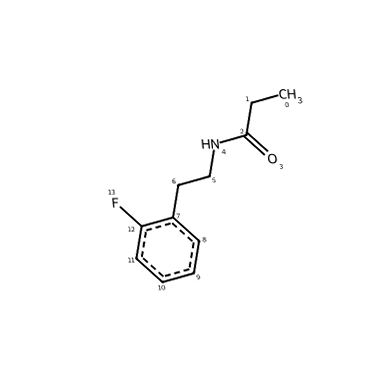 CCC(=O)NCCc1ccccc1F